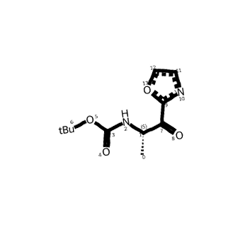 C[C@H](NC(=O)OC(C)(C)C)C(=O)c1ncco1